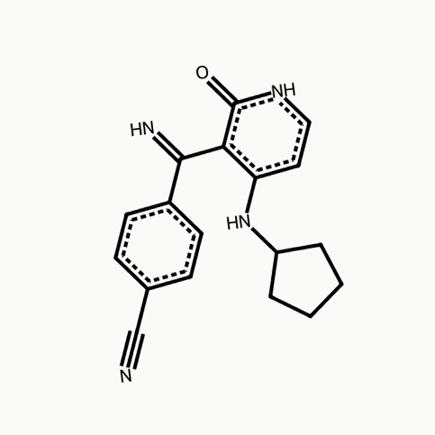 N#Cc1ccc(C(=N)c2c(NC3CCCC3)cc[nH]c2=O)cc1